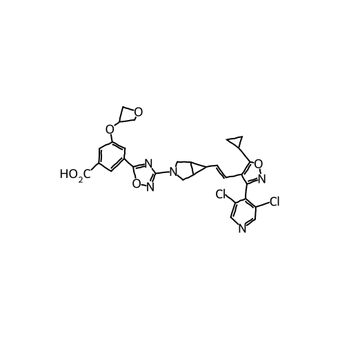 O=C(O)c1cc(OC2COC2)cc(-c2nc(N3CC4C(C=Cc5c(-c6c(Cl)cncc6Cl)noc5C5CC5)C4C3)no2)c1